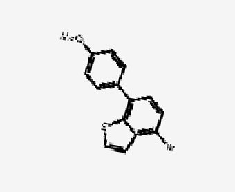 COc1ccc(-c2ccc(Br)c3ccsc23)cc1